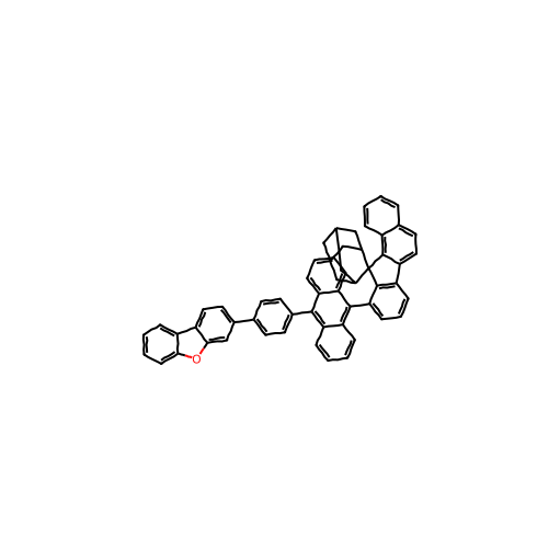 c1cc2c(c(-c3c4ccccc4c(-c4ccc(-c5ccc6c(c5)oc5ccccc56)cc4)c4ccccc34)c1)C1(c3c-2ccc2ccccc32)C2CC3CC(C2)CC1C3